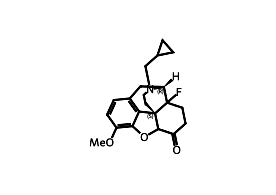 COc1ccc2c3c1OC1C(=O)CCC4(F)[C@@H](C2)N(CC2CC2)CC[C@]314